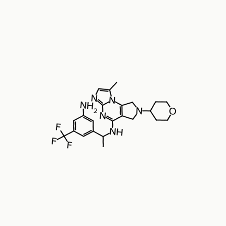 Cc1cnc2nc(NC(C)c3cc(N)cc(C(F)(F)F)c3)c3c(n12)CN(C1CCOCC1)C3